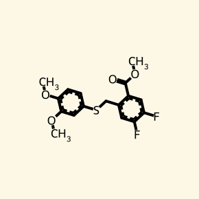 COC(=O)c1cc(F)c(F)cc1CSc1ccc(OC)c(OC)c1